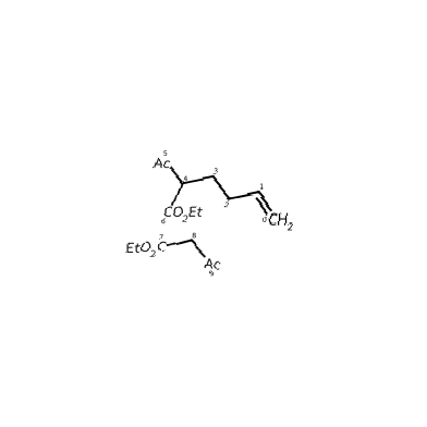 C=CCCC(C(C)=O)C(=O)OCC.CCOC(=O)CC(C)=O